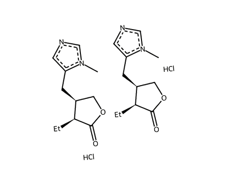 CC[C@@H]1C(=O)OC[C@@H]1Cc1cncn1C.CC[C@@H]1C(=O)OC[C@@H]1Cc1cncn1C.Cl.Cl